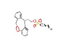 CS(=O)(=O)OCCC1c2ccccc2COc2ccccc21